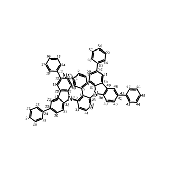 N#Cc1cccc(-c2c(-n3c4ccc(-c5ccccc5)cc4c4cc(-c5ccccc5)ccc43)ccnc2-n2c3ccc(-c4ccccc4)cc3c3cc(-c4ccccc4)ccc32)c1